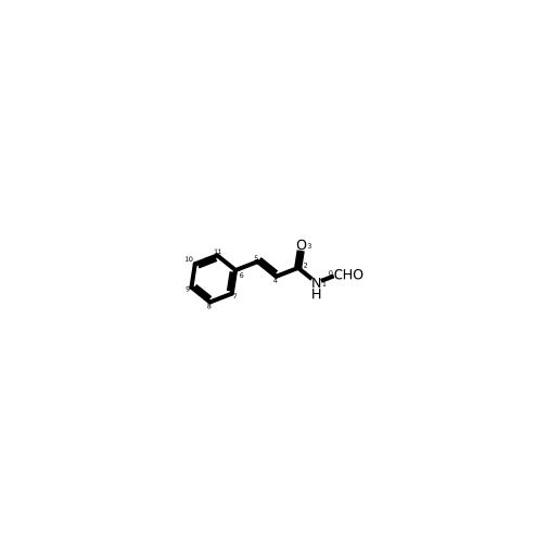 O=CNC(=O)/C=C/c1ccccc1